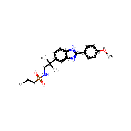 CCCS(=O)(=O)NCC(C)(C)c1ccc2[nH]c(-c3ccc(OC)cc3)nc2c1